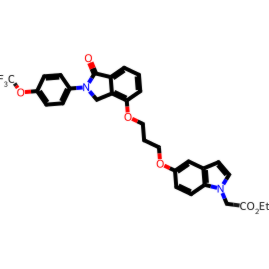 CCOC(=O)Cn1ccc2cc(OCCCOc3cccc4c3CN(c3ccc(OC(F)(F)F)cc3)C4=O)ccc21